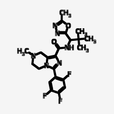 Cc1nnc(C(NC(=O)c2nc(-c3cc(F)c(F)cc3F)n3c2CN(C)CC3)C(C)(C)C)o1